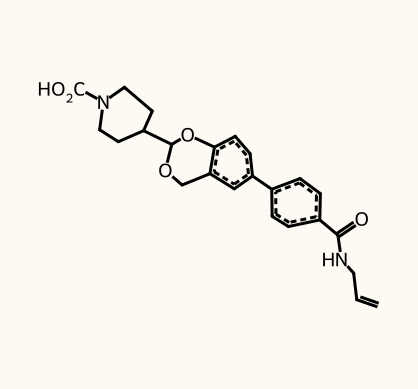 C=CCNC(=O)c1ccc(-c2ccc3c(c2)COC(C2CCN(C(=O)O)CC2)O3)cc1